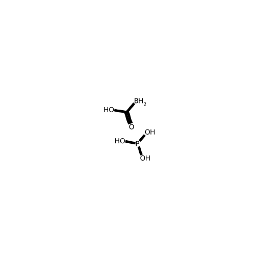 BC(=O)O.OP(O)O